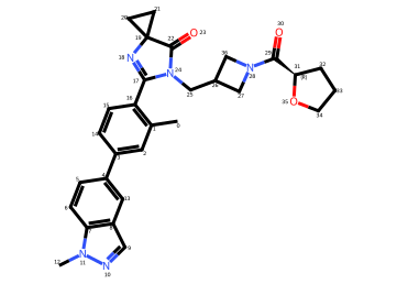 Cc1cc(-c2ccc3c(cnn3C)c2)ccc1C1=NC2(CC2)C(=O)N1CC1CN(C(=O)[C@H]2CCCO2)C1